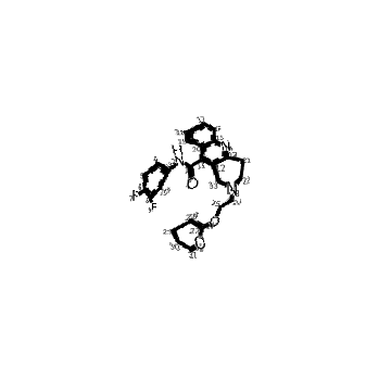 O=C(Nc1ccc(F)c(F)c1)c1c2c(nc3ccccc13)CCN(CCOC1CCCCO1)C2